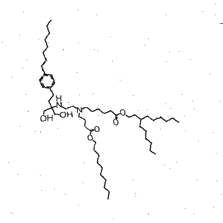 CCCCCCCCCCOC(=O)CCCN(CCCCCC(=O)OCCC(CCCCCC)CCCCCC)CCNC(CO)(CO)CCc1ccc(CCCCCCCC)cc1